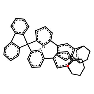 c1cc(-c2ccc3c(c2)C2CCC3CC2)nc(C2(c3cccc(-c4ccc5c(c4)C4CCC5CC4)n3)c3ccccc3-c3ccccc32)c1